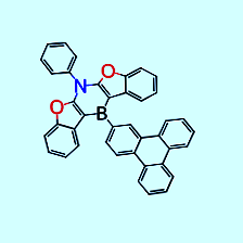 c1ccc(N2c3oc4ccccc4c3B(c3ccc4c5ccccc5c5ccccc5c4c3)c3c2oc2ccccc32)cc1